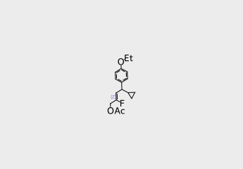 CCOc1ccc(C(/C=C(\F)COC(C)=O)C2CC2)cc1